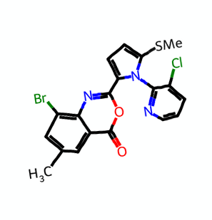 CSc1ccc(-c2nc3c(Br)cc(C)cc3c(=O)o2)n1-c1ncccc1Cl